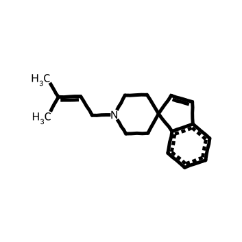 CC(C)=CCN1CCC2(C=Cc3ccccc32)CC1